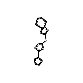 c1csc(-c2nnc(Sc3nc4ccccc4s3)s2)c1